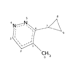 Cc1ccnnc1C1CC1